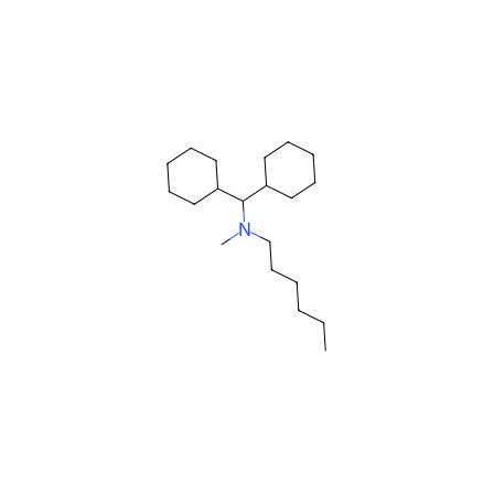 CCCCCCN(C)C(C1CCCCC1)C1CCCCC1